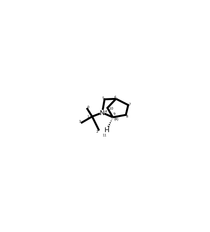 CC(C)(C)N1CC2CC[C@@H]1C2